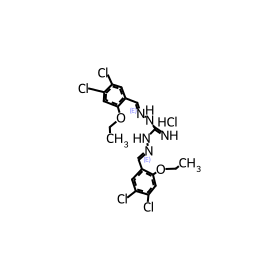 CCOc1cc(Cl)c(Cl)cc1/C=N/NC(=N)N/N=C/c1cc(Cl)c(Cl)cc1OCC.Cl